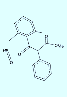 COC(=O)C(C(=O)c1c(C)cccc1C)c1ccccc1.O=P